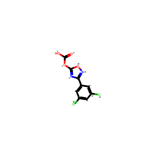 O=C(O)Oc1nc(-c2cc(Cl)cc(Cl)c2)no1